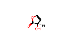 CC[C@@]1(O)C=COC1=O